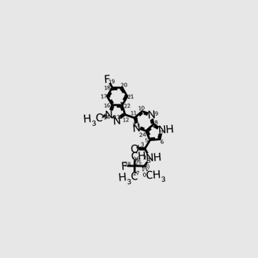 C[C@@H](NC(=O)c1c[nH]c2ncc(-c3nn(C)c4cc(F)ccc34)nc12)C(C)(C)F